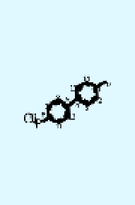 Cc1ccc(-c2ccc(P=O)cc2)cc1